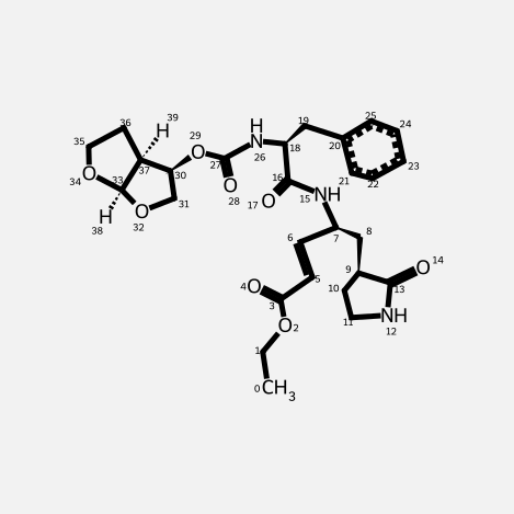 CCOC(=O)/C=C/[C@H](C[C@@H]1CCNC1=O)NC(=O)[C@H](Cc1ccccc1)NC(=O)O[C@H]1CO[C@H]2OCC[C@H]21